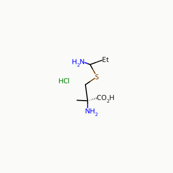 CCC(N)SC[C@](C)(N)C(=O)O.Cl